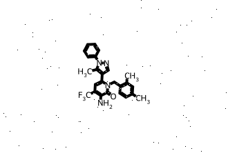 Cc1ccc(Cn2c(-c3cnn(-c4ccccc4)c3C)cc(C(F)(F)F)c(N)c2=O)c(C)c1